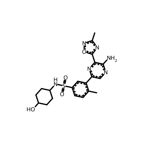 Cc1noc(-c2nc(-c3cc(S(=O)(=O)NC4CCC(O)CC4)ccc3C)cnc2N)n1